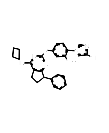 COc1cc(Nc2nc(NC3CCC3)c3c(n2)C(c2ccccc2)CC3)ccc1-n1cnc(Cl)c1